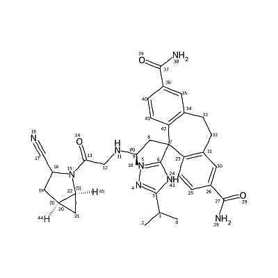 CC(C)c1nnc(C2(C[C@@H](C)NCC(=O)N3C(C#N)C[C@@H]4C[C@@H]43)c3ccc(C(N)=O)cc3CCc3cc(C(N)=O)ccc32)[nH]1